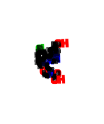 O=C(O)N1CCOC(Cn2ccc3cc(Cl)cc(-c4ncnn5cc(CO)cc45)c32)C1